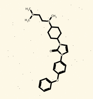 CN(C)CCN(C)C1CCC(n2ccn(-c3ccc(Oc4ccccc4)cc3)c2=O)CC1